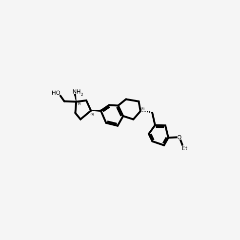 CCOc1cccc(C[C@H]2CCc3cc([C@H]4CC[C@](N)(CO)C4)ccc3C2)c1